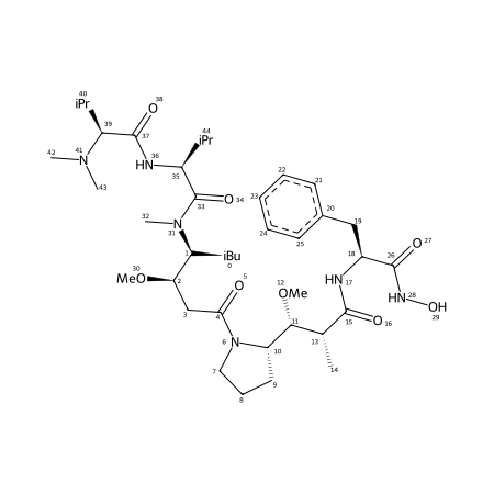 CC[C@H](C)[C@@H]([C@@H](CC(=O)N1CCC[C@H]1[C@H](OC)[C@@H](C)C(=O)N[C@@H](Cc1ccccc1)C(=O)NO)OC)N(C)C(=O)[C@@H](NC(=O)[C@H](C(C)C)N(C)C)C(C)C